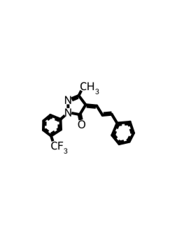 CC1=NN(c2cccc(C(F)(F)F)c2)C(=O)C1=CC=Cc1ccccc1